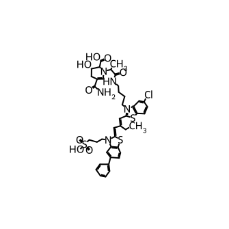 CCC(/C=C1\Sc2ccc(-c3ccccc3)cc2N1CCCS(=O)(=O)O)=C\c1sc2ccc(Cl)cc2[n+]1CCCCNC(=O)C(C)N1C=C(C(N)=O)CC(O)C1C(=O)O